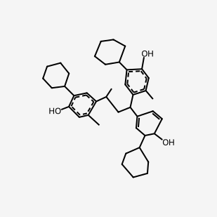 Cc1cc(O)c(C2CCCCC2)cc1C(C)CC(C1=CC(C2CCCCC2)C(O)C=C1)c1cc(C2CCCCC2)c(O)cc1C